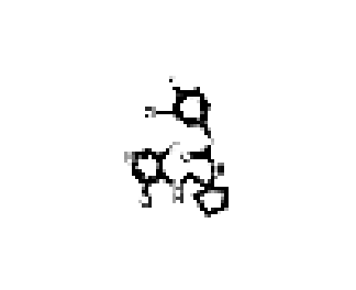 O=C(Nc1ccc(F)c(Cl)c1)NC1(CNc2c(Cl)cncc2Cl)CCCC1